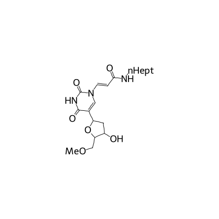 CCCCCCCNC(=O)/C=C/n1cc(C2CC(O)C(COC)O2)c(=O)[nH]c1=O